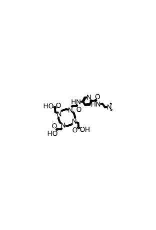 CN(C)CCNC(=O)c1ccc(NC(=O)CN2CCN(CC(=O)O)CCN(CC(=O)O)CCN(CC(=O)O)CC2)cn1